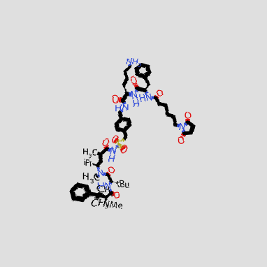 CN[C@H](C(=O)N[C@H](C(=O)N(C)[C@H](C=C(C)C(=O)NS(=O)(=O)Cc1ccc(CNC(=O)[C@@H](CCCCN)NC(=O)[C@@H](Cc2ccccc2)NC(=O)CCCCCN2C(=O)C=CC2=O)cc1)C(C)C)C(C)(C)C)C(C)(C)c1ccccc1